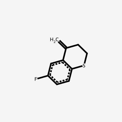 C=C1CCSc2ccc(F)cc21